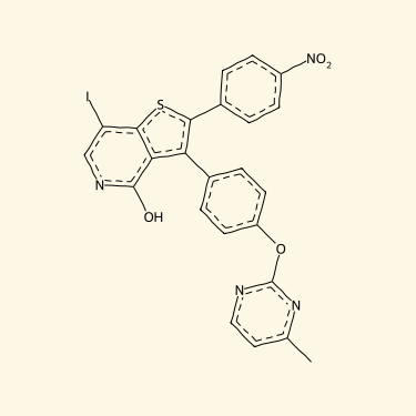 Cc1ccnc(Oc2ccc(-c3c(-c4ccc([N+](=O)[O-])cc4)sc4c(I)cnc(O)c34)cc2)n1